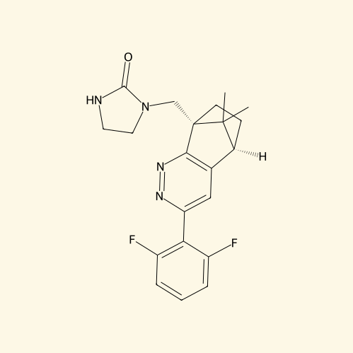 CC1(C)[C@H]2CC[C@]1(CN1CCNC1=O)c1nnc(-c3c(F)cccc3F)cc12